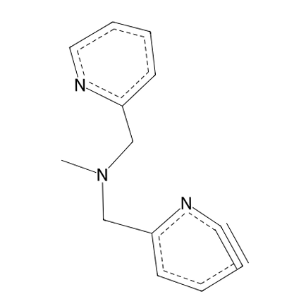 CN(Cc1ccc#cn1)Cc1ccccn1